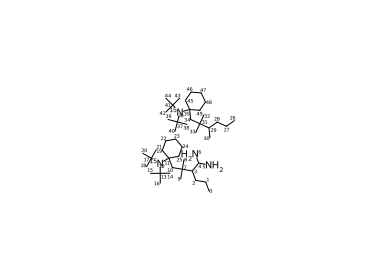 CCCC(C(N)N)C(C)(C)CC1([15N](C(C)(C)C)C(C)(C)C)CCCCC1.CCCC(C)C(C)(C)CC1([15N](C(C)(C)C)C(C)(C)C)CCCCC1